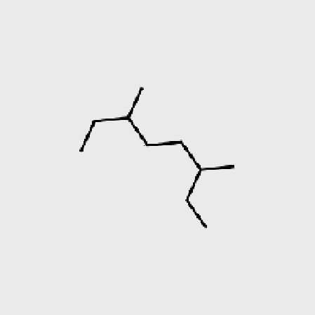 CCC(C)[CH]CC(C)CC